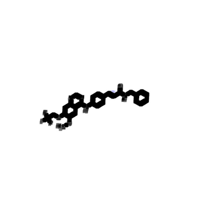 COc1cc2c(Nc3ccc(/C=C/C(=O)NCc4ccccc4)cc3)ncnc2cc1OCC(F)(F)F